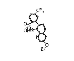 CCOc1cnc2c3c(ccc2c1)-c1cc(C(F)(F)F)ccc1S(=O)(=O)N3